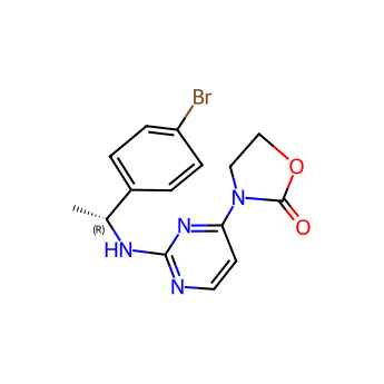 C[C@@H](Nc1nccc(N2CCOC2=O)n1)c1ccc(Br)cc1